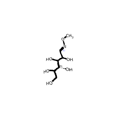 CO/N=C/C(O)C(O)[C@H](O)C(O)CO